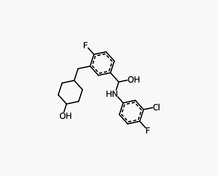 OC1CCC(Cc2cc(C(O)Nc3ccc(F)c(Cl)c3)ccc2F)CC1